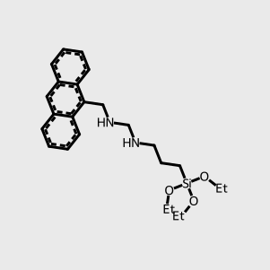 CCO[Si](CCCNCNCc1c2ccccc2cc2ccccc12)(OCC)OCC